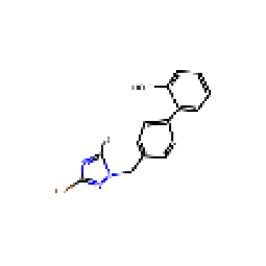 CCc1nc(S)nn1Cc1ccc(-c2ccccc2C(=O)O)cc1